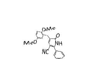 COc1ccc(OC)c(Cc2cc(C#N)c(-c3ccccc3)[nH]c2=O)c1